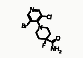 NC(=O)C1(F)CCN(c2c(Cl)cncc2Br)CC1